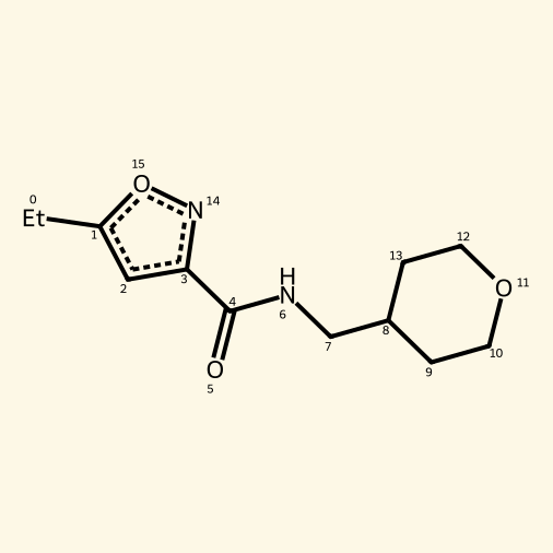 CCc1cc(C(=O)NCC2CCOCC2)no1